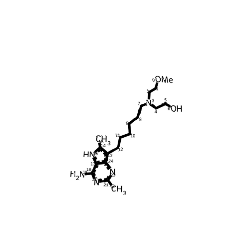 COCCN(CCO)CCCCCCc1c(C)[nH]c2c(N)nc(C)nc12